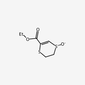 CCOC(=O)C1=C[S+]([O-])CCS1